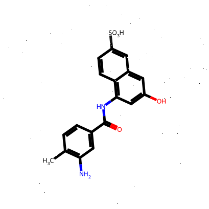 Cc1ccc(C(=O)Nc2cc(O)cc3cc(S(=O)(=O)O)ccc23)cc1N